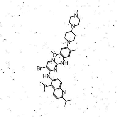 COc1cc(N2CCC(N3CCN(C)CC3)CC2)c(C)cc1Nc1ncc(Br)c(Nc2ccc3nc(C(C)C)ccc3c2P(C)C)n1